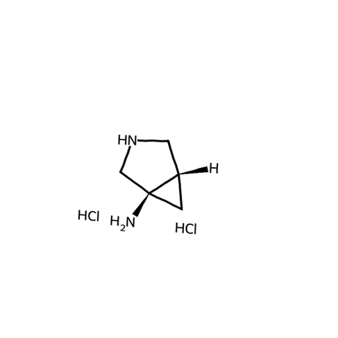 Cl.Cl.N[C@@]12CNC[C@@H]1C2